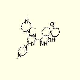 C[C@H]1CN(C)CCCN1c1cc(N2CCN(C)CC2)nc(C(=N)C2=C(O)[C@]3(CCCCC3=O)CCC2)n1